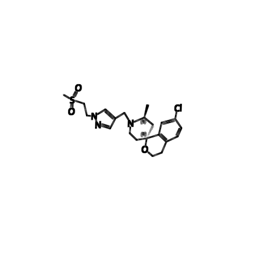 C[C@H]1C[C@@]2(CCN1Cc1cnn(CCS(C)(=O)=O)c1)OCCc1ccc(Cl)cc12